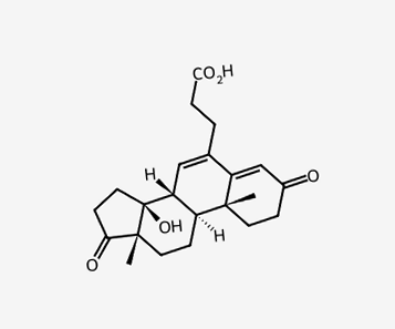 C[C@]12CCC(=O)C=C1C(CCC(=O)O)=C[C@@H]1[C@@H]2CC[C@]2(C)C(=O)CC[C@]12O